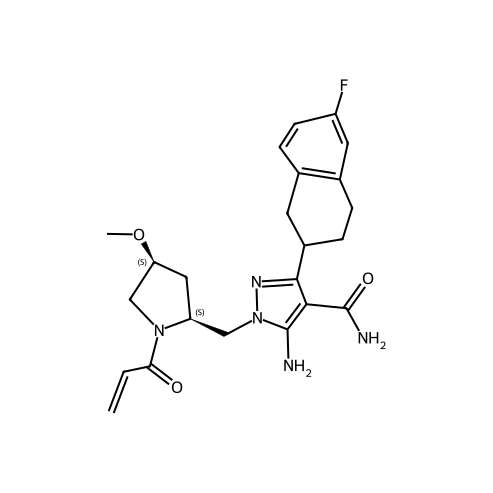 C=CC(=O)N1C[C@@H](OC)C[C@H]1Cn1nc(C2CCc3cc(F)ccc3C2)c(C(N)=O)c1N